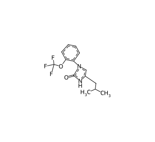 CC(C)Cc1cn(-c2ccccc2OC(F)(F)F)c(=O)[nH]1